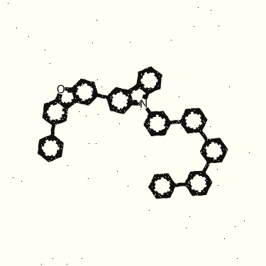 c1ccc(-c2cccc(-c3cccc(-c4cccc(-c5cccc(-n6c7ccccc7c7cc(-c8ccc9oc%10ccc(-c%11ccccc%11)cc%10c9c8)ccc76)c5)c4)c3)c2)cc1